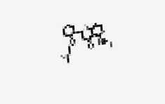 CN(C)CCOc1ccccc1-c1cc(=O)c2c(N)cccc2o1